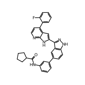 O=C(Nc1cccc(-c2ccc3[nH]nc(-c4cc5c(-c6ccccc6F)ccnc5[nH]4)c3c2)c1)C1CCCC1